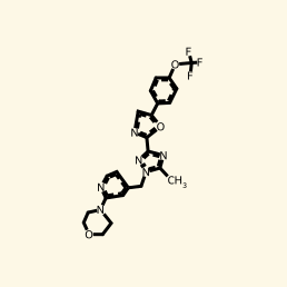 Cc1nc(-c2ncc(-c3ccc(OC(F)(F)F)cc3)o2)nn1Cc1ccnc(N2CCOCC2)c1